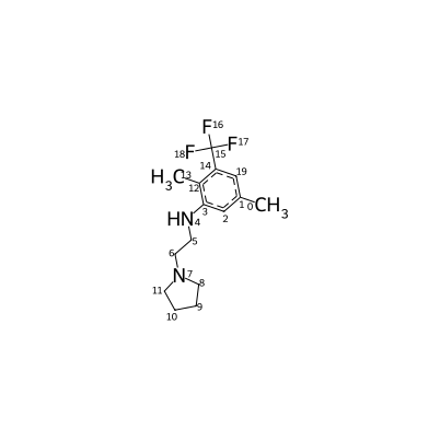 Cc1cc(NCCN2CCCC2)c(C)c(C(F)(F)F)c1